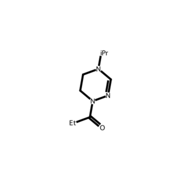 CCC(=O)N1CCN(C(C)C)C=N1